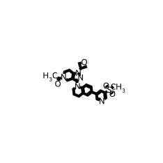 CC(=O)N1CCc2c(c(N3CCCc4cc(-c5cncc(S(C)(=O)=O)c5)ccc43)nn2C2COC2)C1